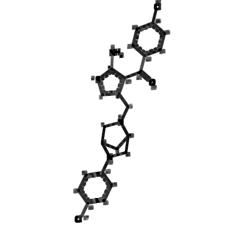 Nc1scc(CN2CC3CC2CN3c2ccc(Cl)cc2)c1C(=O)c1ccc(Cl)cc1